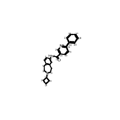 O=C(Nc1ccc2c(c1)CCN(C1CCC1)CC2)c1ccc(-c2ccccc2)nc1